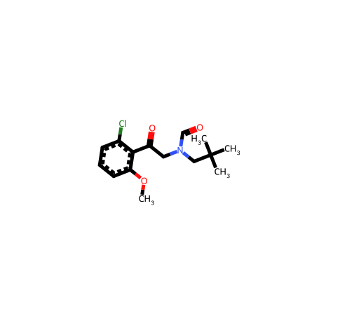 COc1cccc(Cl)c1C(=O)CN(C=O)CC(C)(C)C